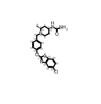 C[C@H]1C[C@@H](NC(N)=O)CCN1Cc1ccc(Oc2nc3cc(Cl)ccc3s2)cc1